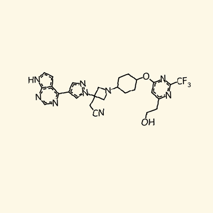 N#CCC1(n2cc(-c3ncnc4[nH]ccc34)cn2)CN(C2CCC(Oc3cc(CCO)nc(C(F)(F)F)n3)CC2)C1